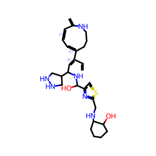 C=CC(=C\C(NC(O)c1csc(CNC2CCCCC2O)n1)C1CNNC1)/C1=C/C=C\C(=C)NCCC1